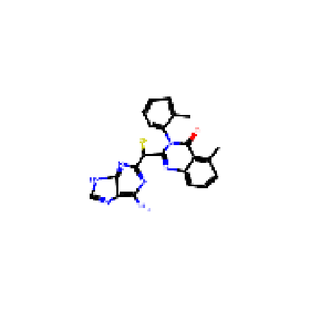 Cc1ccccc1-n1c(C(S)c2nc(N)c3nc[nH]c3n2)nc2cccc(C)c2c1=O